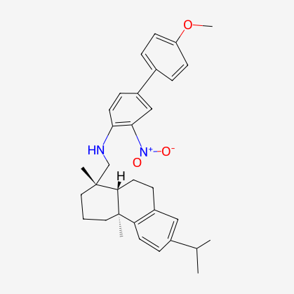 COc1ccc(-c2ccc(NC[C@@]3(C)CCC[C@]4(C)c5ccc(C(C)C)cc5CC[C@@H]34)c([N+](=O)[O-])c2)cc1